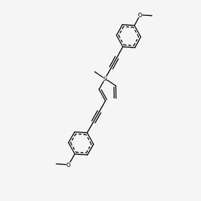 C=C[Si](C)(C#Cc1ccc(OC)cc1)C=CC#Cc1ccc(OC)cc1